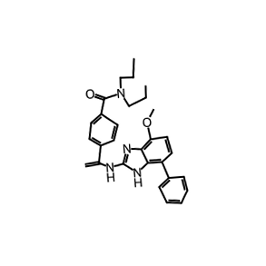 C=C(Nc1nc2c(OC)ccc(-c3ccccc3)c2[nH]1)c1ccc(C(=O)N(CCC)CCC)cc1